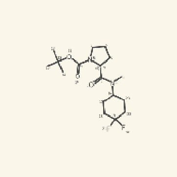 CN(C(=O)[C@@H]1CCCN1C(=O)OC(C)(C)C)C1CCC(F)(F)CC1